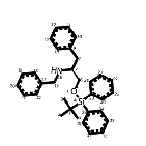 CC(C)(C)[Si](OC[C@H](Cc1ccccc1)NCc1ccccc1)(c1ccccc1)c1ccccc1